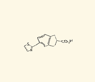 O=C(O)C1Cc2ccc(-c3nccs3)cc2C1